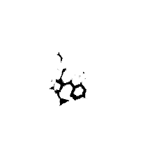 CCOC(=O)c1noc(C2CC2)c1C(=O)c1ccc(F)cc1S(C)(=O)=O